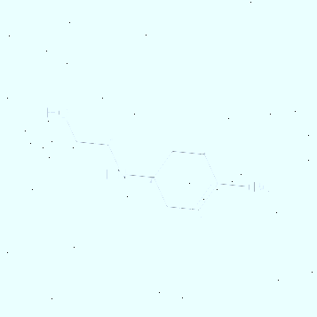 CC(C)(C)C1=CCC(NCCO)CC1